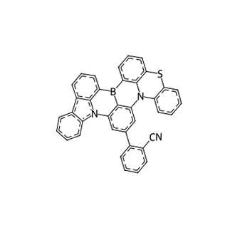 N#Cc1ccccc1-c1cc2c3c(c1)-n1c4ccccc4c4cccc(c41)B3c1cccc3c1N2c1ccccc1S3